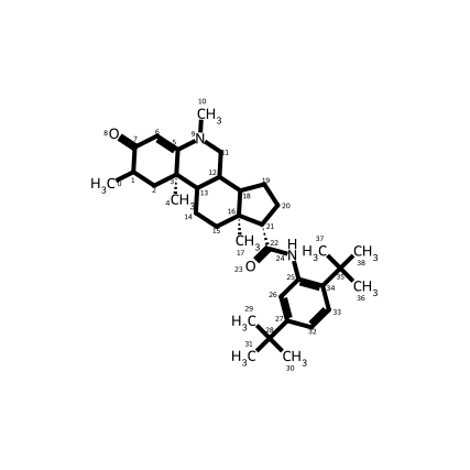 CC1C[C@@]2(C)C(=CC1=O)N(C)CC1C2CC[C@@]2(C)C1CC[C@@H]2C(=O)Nc1cc(C(C)(C)C)ccc1C(C)(C)C